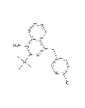 CC(C)(C)c1cc(Cc2ccc(O)cc2)c2ccccc2c1O